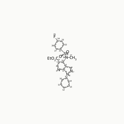 CCOC(=O)c1cnc2c(cnn2-c2ccccc2)c1N(C)S(=O)(=O)c1ccc(F)cc1